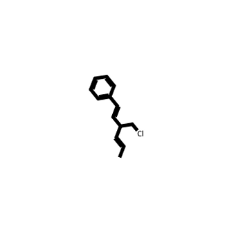 CC=CC(C=Cc1ccccc1)CCl